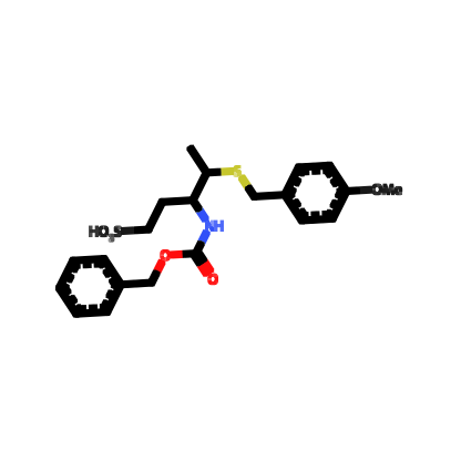 COc1ccc(CSC(C)C(CCS(=O)(=O)O)NC(=O)OCc2ccccc2)cc1